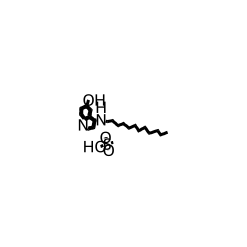 CCCCCCCCCCCCNc1ccnc2ccc(O)cc12.CS(=O)(=O)O